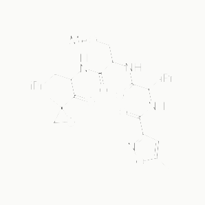 COCC(NC(=O)C(NC(=O)c1cc(C)on1)C(C)C)C(=O)NC(CC(C)C)C(=O)C1(C)CO1